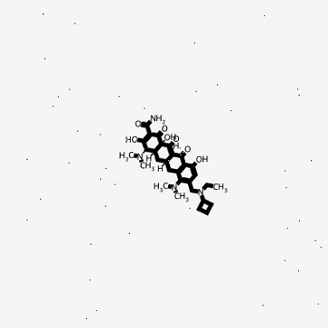 CCN(Cc1cc(O)c2c(c1N(C)C)C[C@H]1C[C@H]3[C@H](N(C)C)C(O)=C(C(N)=O)C(=O)[C@@]3(O)C(O)=C1C2=O)C1CCC1